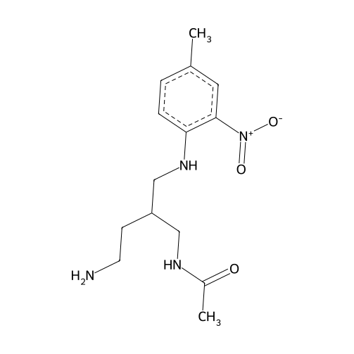 CC(=O)NCC(CCN)CNc1ccc(C)cc1[N+](=O)[O-]